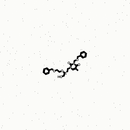 Cc1cn(CC[C@@H](CO)OCCOCc2ccccc2)c(=O)n(COCc2ccccc2)c1=O